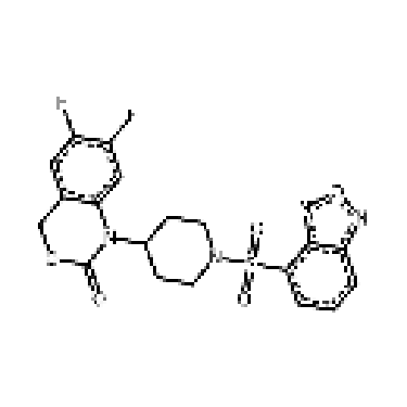 O=C1OCc2cc(F)c(F)cc2N1C1CCN(S(=O)(=O)c2cccc3nonc23)CC1